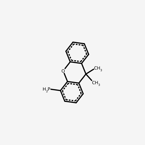 CC1(C)c2ccccc2Oc2c(P)cccc21